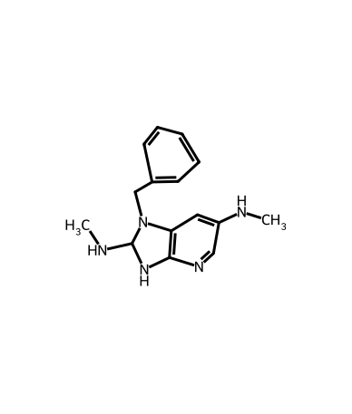 CNc1cnc2c(c1)N(Cc1ccccc1)C(NC)N2